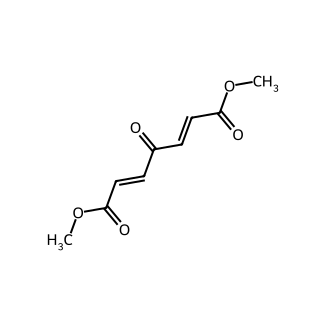 COC(=O)C=CC(=O)C=CC(=O)OC